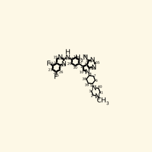 CN1CCN([C@H]2CC[C@H](n3cc(-c4ccc(Nc5ncc6c(F)cc(F)cc6n5)cc4)c4c(N)ncnc43)CC2)CC1